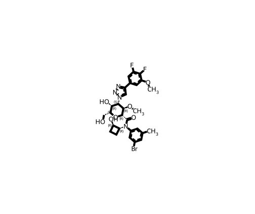 COc1cc(-c2cn([C@H]3[C@@H](O)[C@@H](CO)O[C@@H](C(=O)N(c4cc(C)cc(Br)c4)[C@@H]4CC[C@H]4O)[C@@H]3OC)nn2)cc(F)c1F